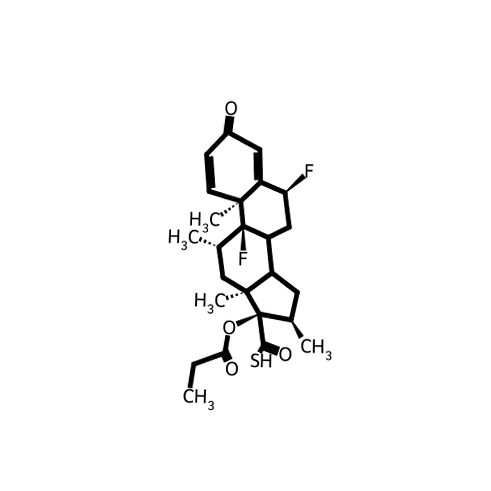 CCC(=O)O[C@]1(C(=O)S)[C@H](C)CC2C3C[C@H](F)C4=CC(=O)C=C[C@]4(C)[C@@]3(F)[C@@H](C)C[C@@]21C